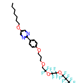 CCCCCCCOc1cnc(-c2ccc(OCCCOCC(F)(F)OC(F)(F)C(F)(F)OC(F)(F)C(F)(F)C(F)(F)C(F)(F)F)cc2)nc1